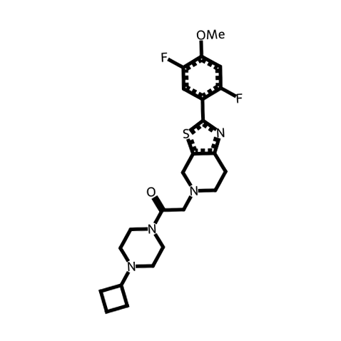 COc1cc(F)c(-c2nc3c(s2)CN(CC(=O)N2CCN(C4CCC4)CC2)CC3)cc1F